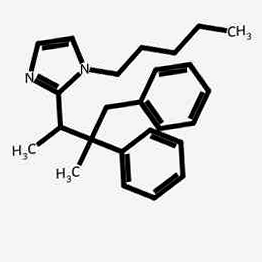 CCCCCn1ccnc1C(C)C(C)(Cc1ccccc1)c1ccccc1